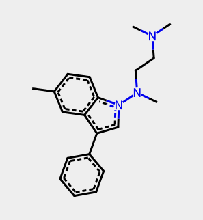 Cc1ccc2c(c1)c(-c1ccccc1)cn2N(C)CCN(C)C